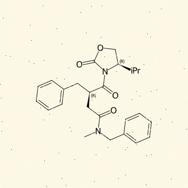 CC(C)[C@@H]1COC(=O)N1C(=O)[C@@H](CC(=O)N(C)Cc1ccccc1)Cc1ccccc1